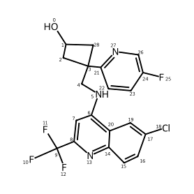 OC1CC(CNc2cc(C(F)(F)F)nc3ccc(Cl)cc23)(c2ccc(F)cn2)C1